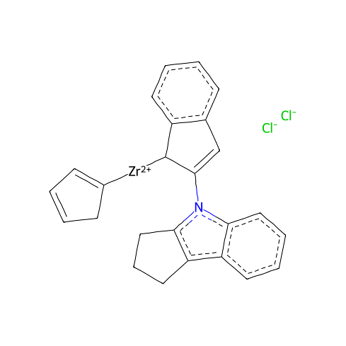 C1=CC[C]([Zr+2][CH]2C(n3c4c(c5ccccc53)CCC4)=Cc3ccccc32)=C1.[Cl-].[Cl-]